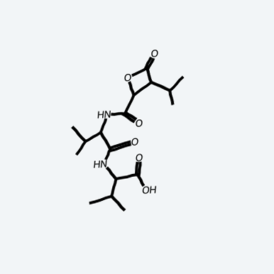 CC(C)C(NC(=O)C(NC(=O)C1OC(=O)C1C(C)C)C(C)C)C(=O)O